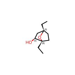 CC[C@@]12CC[C@@](CC)(O1)[C@@H](O)C2